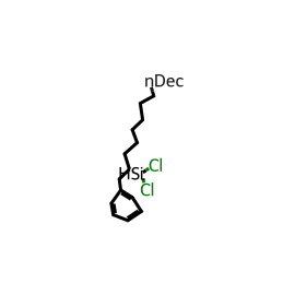 CCCCCCCCCCCCCCCCC(Cc1ccccc1)[SiH](Cl)Cl